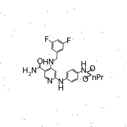 CCCS(=O)(=O)Nc1ccc(Nc2cc(NCc3cc(F)cc(F)c3)c(C(N)=O)cn2)cc1